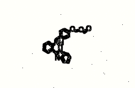 O=COCOc1ccc(CNc2ccccc2-c2nc3ccccc3[nH]2)cc1